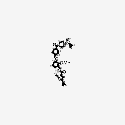 COc1c(CNC(=O)c2cc(C3CC3)nn2C)cccc1OCc1ccc(C(=O)N2CCN([S+]([O-])C3CC3)CC2)cc1